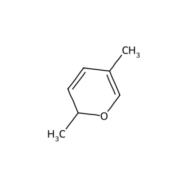 CC1=COC(C)C=C1